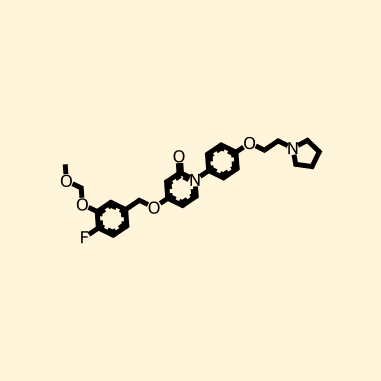 COCOc1cc(COc2ccn(-c3ccc(OCCN4CCCC4)cc3)c(=O)c2)ccc1F